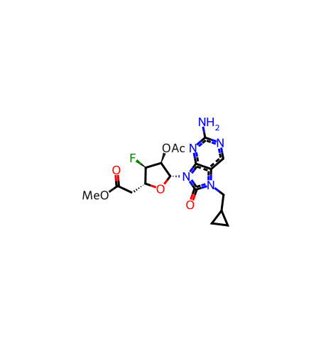 COC(=O)C[C@H]1O[C@@H](n2c(=O)n(CC3CC3)c3cnc(N)nc32)[C@H](OC(C)=O)[C@@H]1F